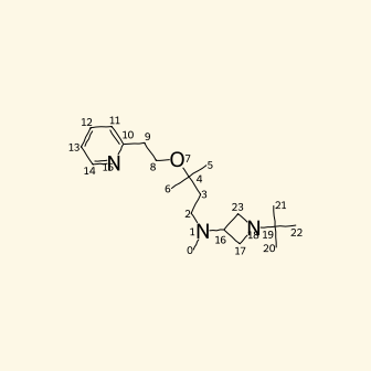 CN(CCC(C)(C)OCCc1ccccn1)C1CN(C(C)(C)C)C1